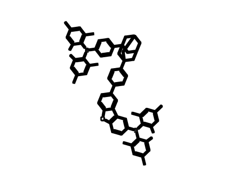 Cc1cc(C)c(B(c2ccc(C34CC5CC(C3)CC(c3ccc(-c6ccc7oc8ccc(B(c9c(C)cc(C)cc9C)c9c(C)cc(C)cc9C)cc8c7c6)cc3)(C5)C4)cc2)c2c(C)cc(C)cc2C)c(C)c1